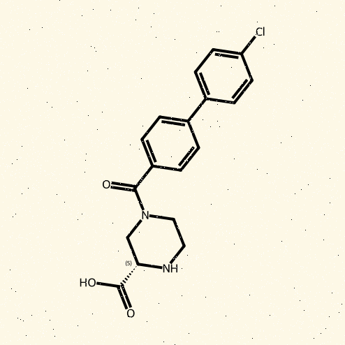 O=C(O)[C@@H]1CN(C(=O)c2ccc(-c3ccc(Cl)cc3)cc2)CCN1